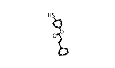 O=C(/C=C/c1ccccc1)Oc1ccc(S)cc1